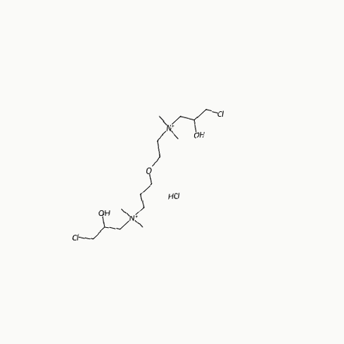 C[N+](C)(CCCOCC[N+](C)(C)CC(O)CCl)CC(O)CCl.Cl